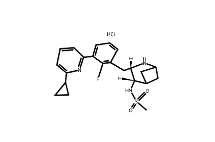 CS(=O)(=O)N[C@H]1C2CC(C2)N[C@H]1Cc1cccc(-c2cccc(C3CC3)n2)c1F.Cl